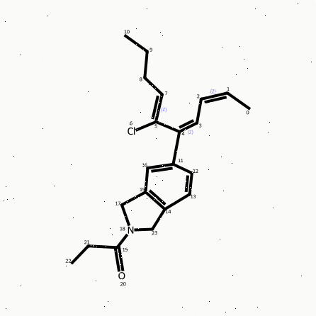 C\C=C/C=C(\C(Cl)=C\CCC)c1ccc2c(c1)CN(C(=O)CC)C2